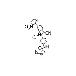 C[C@@H](OC(=O)Nc1ccc(-c2c(C#N)c3ccc(-c4ncccc4[N+](=O)[O-])cc3n2C2CCC2)cc1)C1CC1